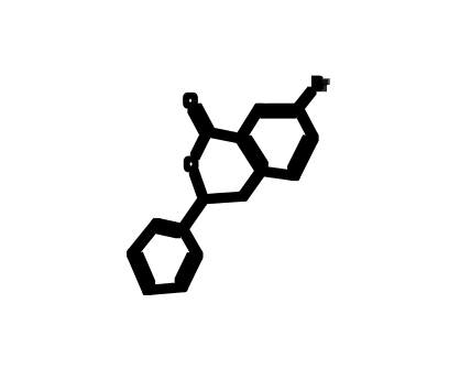 O=C1OC(c2ccccc2)Cc2ccc(Br)cc21